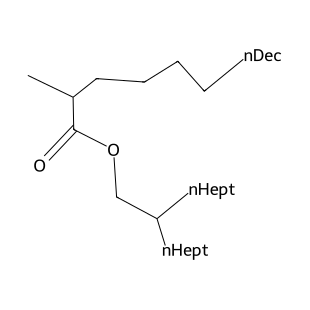 CCCCCCCCCCCCCCC(C)C(=O)OCC(CCCCCCC)CCCCCCC